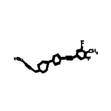 CCCCC#CCC1CCC(c2ccc(C#Cc3cc(F)c(C)c(F)c3)cc2)CC1